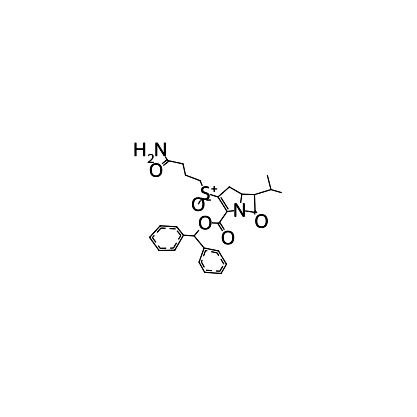 CC(C)C1C(=O)N2C(C(=O)OC(c3ccccc3)c3ccccc3)=C([S+]([O-])CCCC(N)=O)CC12